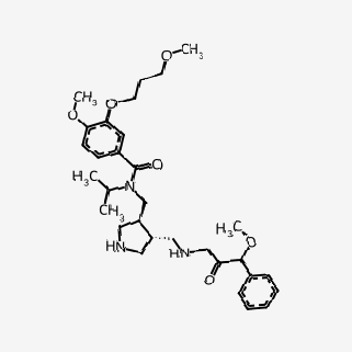 COCCCOc1cc(C(=O)N(C[C@@H]2CNC[C@H]2CNCC(=O)C(OC)c2ccccc2)C(C)C)ccc1OC